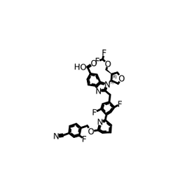 N#Cc1ccc(COc2cccc(-c3cc(F)c(Cc4nc5ccc(C(=O)O)cc5n4[C@@H]4COC[C@@H]4COC(F)F)cc3F)n2)c(F)c1